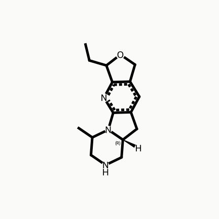 CCC1OCc2cc3c(nc21)N1C(C)CNC[C@H]1C3